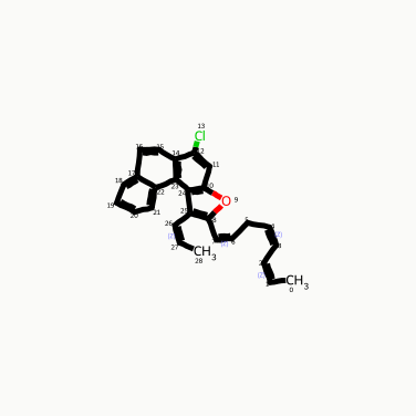 C/C=C\C=C/C/C=C\c1oc2cc(Cl)c3ccc4ccccc4c3c2c1/C=C\C